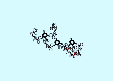 Cc1cc(COC(=O)N(C)CCN(C)C(=O)C(C)C)c(C(=O)N(C)CCN(C)C(=O)OCc2cc(C)cc(COC(=O)N(C)CCN(C)C(=O)c3c(COC(=O)N(C)CCN(C)C(=O)C(C)C)cc(C)cc3COC(=O)N(C)CCN(C)C(=O)C(C)C)c2C(C)C)c(COC(=O)N(C)CCN(C)C(=O)C(C)C)c1